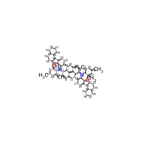 Cc1cc(C)c(N(c2ccc3ccc4c(N(c5c(C)cc(C)cc5C)c5cccc6c5oc5ccc7ccccc7c56)ccc5ccc2c3c54)c2cccc3c2oc2ccc4ccccc4c23)c(C)c1